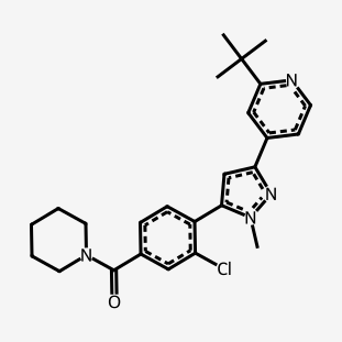 Cn1nc(-c2ccnc(C(C)(C)C)c2)cc1-c1ccc(C(=O)N2CCCCC2)cc1Cl